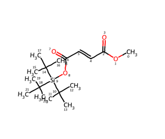 COC(=O)/C=C/C(=O)O[Si](C(C)(C)C)(C(C)(C)C)C(C)(C)C